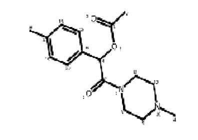 CC(=O)OC(C(=O)N1CCN(C)CC1)c1ccc(C)cc1